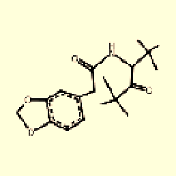 CC(C)(C)C(=O)C(NC(=O)Cc1ccc2c(c1)OCO2)C(C)(C)C